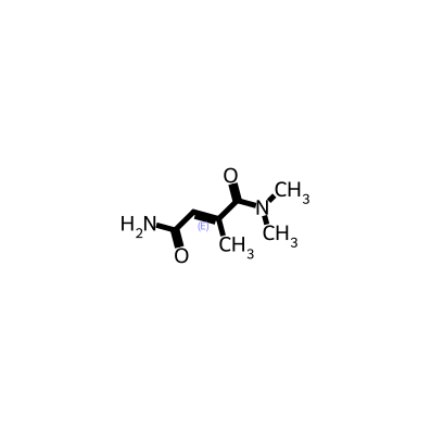 C/C(=C\C(N)=O)C(=O)N(C)C